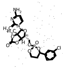 C=C1N=C(N)C=CN1[C@@H]1O[C@H](COP2(=O)OCCC(c3cccc(Cl)c3)O2)[C@H]2OC(=O)O[C@]21C